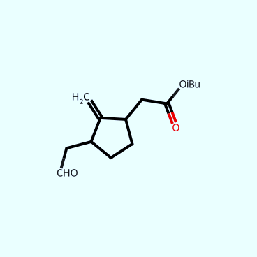 C=C1C(CC=O)CCC1CC(=O)OCC(C)C